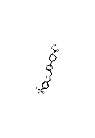 CC(C)(C)OC(=O)N1CCC(c2nc(CNCc3ccc(S(C)(=O)=O)cc3)cs2)CC1